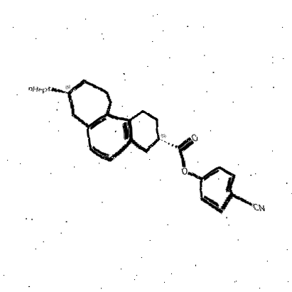 CCCCCCC[C@H]1CCc2c(ccc3c2CC[C@H](C(=O)Oc2ccc(C#N)cc2)C3)C1